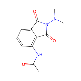 CC(=O)Nc1cccc2c1C(=O)N(N(C)C)C2=O